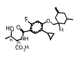 C=C1CC(C)CC(CC)(COc2cc(F)c(C(=O)N[C@H](C(=O)O)[C@@H](C)O)cc2C2CC2)C1